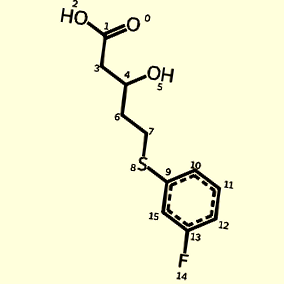 O=C(O)CC(O)CCSc1cccc(F)c1